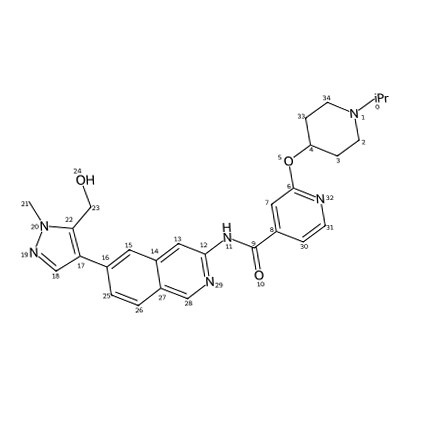 CC(C)N1CCC(Oc2cc(C(=O)Nc3cc4cc(-c5cnn(C)c5CO)ccc4cn3)ccn2)CC1